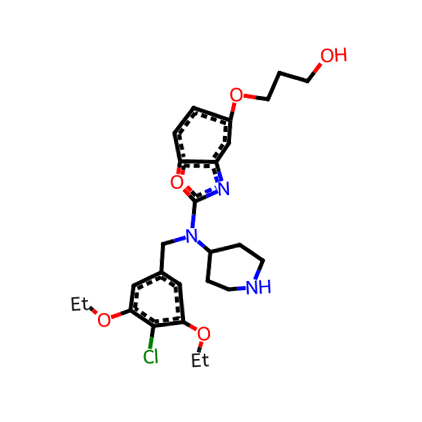 CCOc1cc(CN(c2nc3cc(OCCCO)ccc3o2)C2CCNCC2)cc(OCC)c1Cl